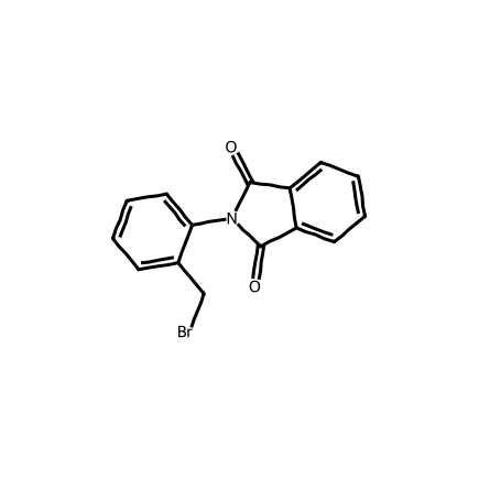 O=C1c2ccccc2C(=O)N1c1ccccc1CBr